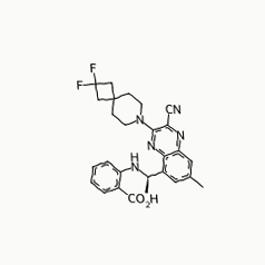 Cc1cc([C@@H](C)Nc2ccccc2C(=O)O)c2nc(N3CCC4(CC3)CC(F)(F)C4)c(C#N)nc2c1